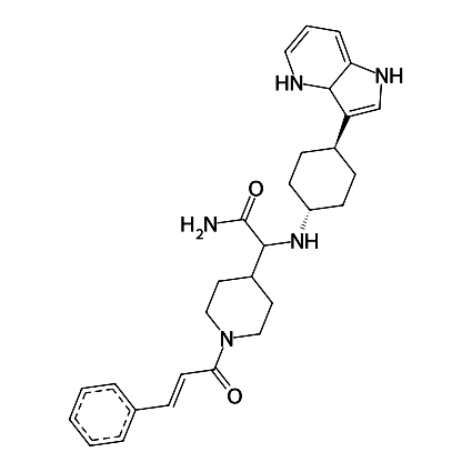 NC(=O)C(N[C@H]1CC[C@H](C2=CNC3=CC=CNC32)CC1)C1CCN(C(=O)/C=C/c2ccccc2)CC1